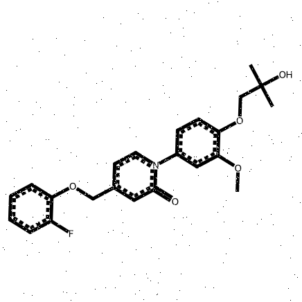 COc1cc(-n2ccc(COc3ccccc3F)cc2=O)ccc1OCC(C)(C)O